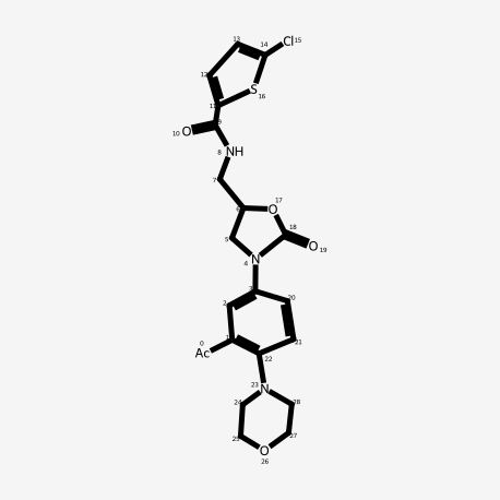 CC(=O)c1cc(N2CC(CNC(=O)c3ccc(Cl)s3)OC2=O)ccc1N1CCOCC1